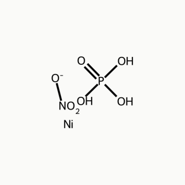 O=P(O)(O)O.O=[N+]([O-])[O-].[Ni]